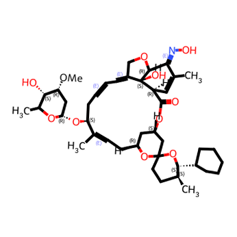 CO[C@@H]1C[C@H](O[C@H]2C/C=C/C=C3\CO[C@@H]4/C(=N/O)C(C)=C[C@@H](C(=O)O[C@H]5C[C@@H](C/C=C/2C)OC2(CC[C@H](C)[C@@H](C6CCCCC6)O2)C5)[C@]34O)OC(C)[C@@H]1O